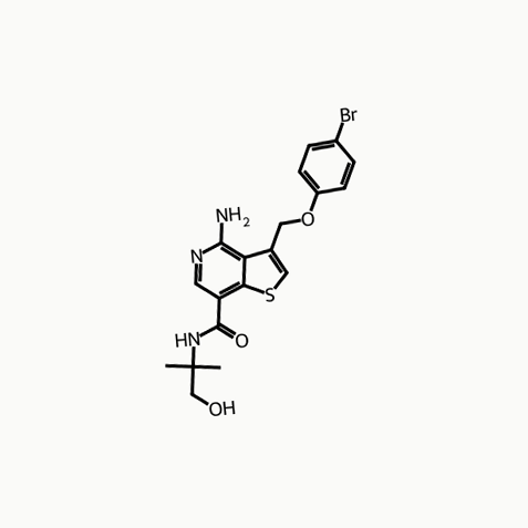 CC(C)(CO)NC(=O)c1cnc(N)c2c(COc3ccc(Br)cc3)csc12